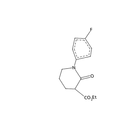 CCOC(=O)C1CCCN(c2ccc(F)cc2)C1=O